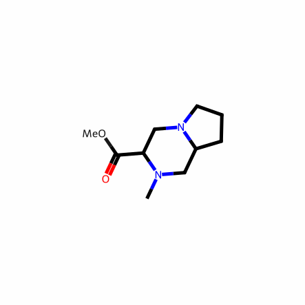 COC(=O)C1CN2CCCC2CN1C